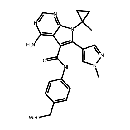 COCc1ccc(NC(=O)c2c(-c3cnn(C)c3)n(C3(C)CC3)c3ncnc(N)c23)cc1